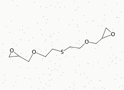 C(CSCCOCC1CO1)OCC1CO1